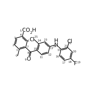 Cc1ccc(C(=O)O)cc1C(=O)c1ccc(Nc2ccc(F)cc2Cl)cc1Cl